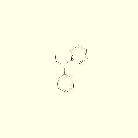 [SiH3][SiH2][SiH](c1ccccc1)c1ccccc1